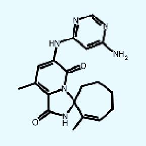 CC1=CCCCCC12NC(=O)c1c(C)cc(Nc3cc(N)ncn3)c(=O)n12